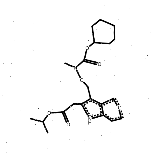 CC(C)OC(=O)Cc1[nH]c2ccccc2c1CCN(C)C(=O)OC1CCCCC1